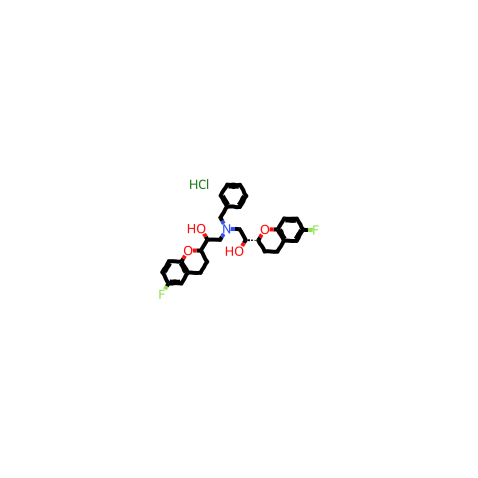 Cl.OC(CN(Cc1ccccc1)CC(O)[C@H]1CCc2cc(F)ccc2O1)C1CCc2cc(F)ccc2O1